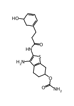 NC(=O)OC1CCc2c(sc(NC(=O)CCC3=CC=CC(O)C3)c2N)C1